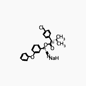 CC(C)[C@H](C(=O)O[C@H](C#N)c1cccc(Oc2ccccc2)c1)c1ccc(Cl)cc1.[NaH]